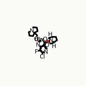 CC(C)(C)OC(=O)N1[C@@H]2CC[C@H]1CN(c1nc(OCC34CCCN3CCC4)nc3c(F)c(Cl)ncc13)C2